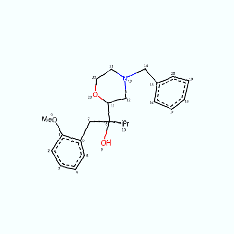 COc1ccccc1CC(O)(C(C)C)C1CN(Cc2ccccc2)CCO1